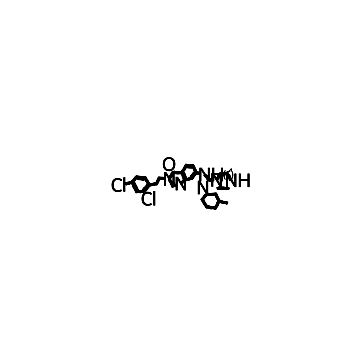 CC1CCCC(N=C(Nc2ccc3c(=O)n(CCc4ccc(Cl)cc4Cl)cnc3c2)N2CCN[C@@H](C)C2)C1